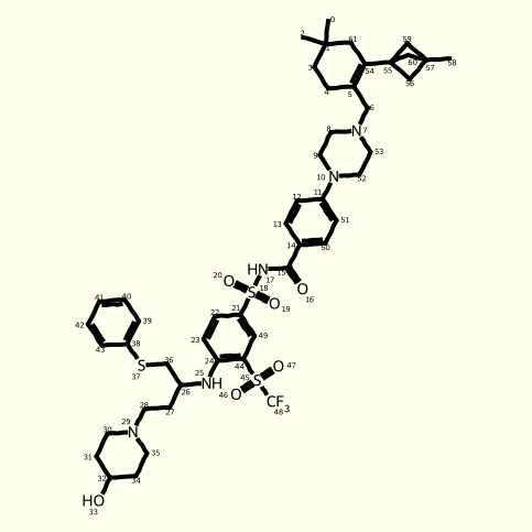 CC1(C)CCC(CN2CCN(c3ccc(C(=O)NS(=O)(=O)c4ccc(NC(CCN5CCC(O)CC5)CSc5ccccc5)c(S(=O)(=O)C(F)(F)F)c4)cc3)CC2)=C(C23CC(C)(C2)C3)C1